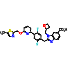 O=C(O)c1ccc2nc(Cc3cc(F)c(-c4cccc(OCc5ncc(C(F)(F)F)s5)n4)cc3F)n(CC3CCO3)c2c1